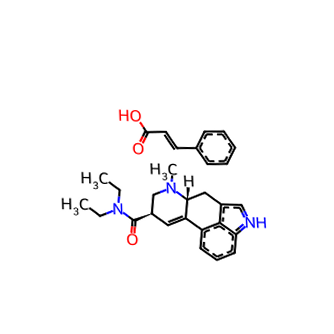 CCN(CC)C(=O)[C@@H]1C=C2c3cccc4[nH]cc(c34)C[C@H]2N(C)C1.O=C(O)C=Cc1ccccc1